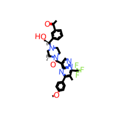 COc1ccc(-c2nc3c(C(=O)N4CCN([C@@H](CO)c5cccc(C(C)=O)c5)C[C@H]4C)cnn3c(C(F)(F)F)c2C)cc1